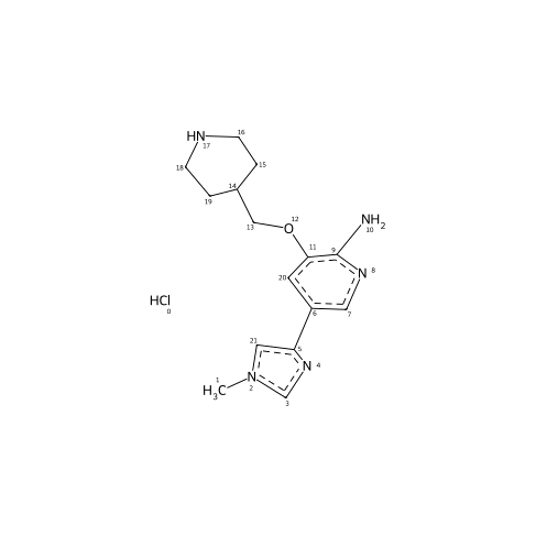 Cl.Cn1cnc(-c2cnc(N)c(OCC3CCNCC3)c2)c1